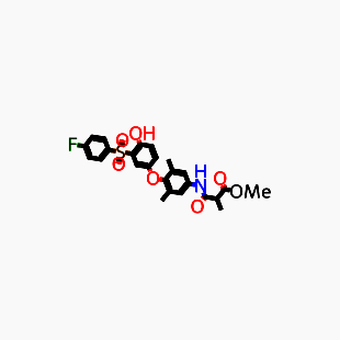 COC(=O)C(C)C(=O)Nc1cc(C)c(Oc2ccc(O)c(S(=O)(=O)c3ccc(F)cc3)c2)c(C)c1